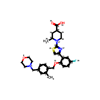 Cc1cc(CN2CCOCC2)ccc1COc1ccc(F)cc1-c1csc(N2CCC(C(=O)O)CC2C)n1